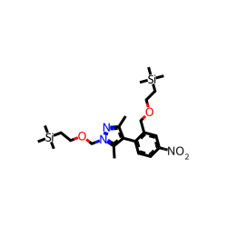 Cc1nn(COCC[Si](C)(C)C)c(C)c1-c1ccc([N+](=O)[O-])cc1COCC[Si](C)(C)C